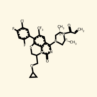 C=CC(=O)N1[C@H](C)CN(c2nc(=O)n3c4c(c(-c5cc(Cl)c(F)cc5F)c(C(F)(F)F)cc24)SCC3COC2CC2)C[C@@H]1C